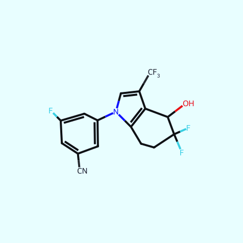 N#Cc1cc(F)cc(-n2cc(C(F)(F)F)c3c2CCC(F)(F)C3O)c1